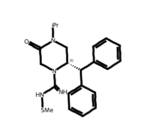 CSNC(=N)N1CC(=O)N(C(C)C)C[C@@H]1C(c1ccccc1)c1ccccc1